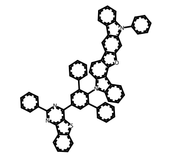 c1ccc(-c2nc(-c3cc(-c4ccccc4)c(-n4c5ccccc5c5c6oc7cc8c(cc7c6ccc54)c4ccccc4n8-c4ccccc4)c(-c4ccccc4)c3)c3sc4ccccc4c3n2)cc1